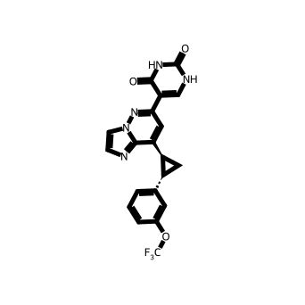 O=c1[nH]cc(-c2cc([C@H]3C[C@@H]3c3cccc(OC(F)(F)F)c3)c3nccn3n2)c(=O)[nH]1